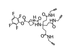 C#CCNC(=O)CCC(CCC(=O)NCC#C)(CCC(=O)NCC#C)NC(=O)[C@@H]1CC2(C(=O)Oc3c(F)c(F)cc(F)c3F)CC1C2